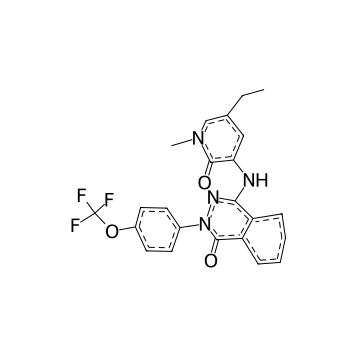 CCc1cc(Nc2nn(-c3ccc(OC(F)(F)F)cc3)c(=O)c3ccccc23)c(=O)n(C)c1